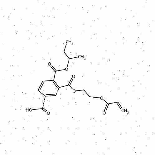 C=CC(=O)OCCOC(=O)c1cc(C(=O)O)ccc1C(=O)OC(C)CC